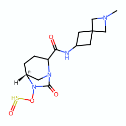 CN1CC2(CC(NC(=O)C3CC[C@@H]4CN3C(=O)N4O[SH]=O)C2)C1